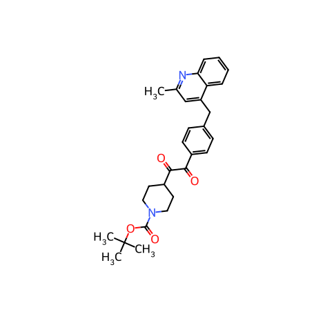 Cc1cc(Cc2ccc(C(=O)C(=O)C3CCN(C(=O)OC(C)(C)C)CC3)cc2)c2ccccc2n1